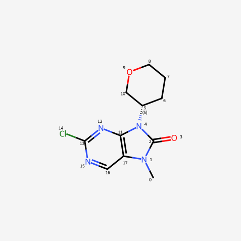 Cn1c(=O)n([C@H]2CCCOC2)c2nc(Cl)ncc21